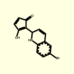 CC(C)c1ccc2c(c1)C=CC(C1=C(O)C=CC1=O)N2